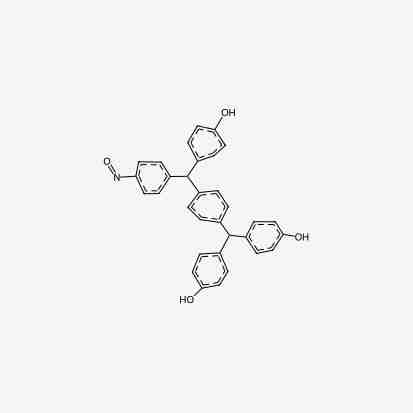 O=Nc1ccc(C(c2ccc(O)cc2)c2ccc(C(c3ccc(O)cc3)c3ccc(O)cc3)cc2)cc1